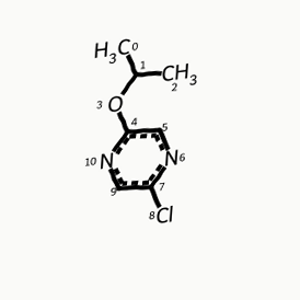 CC(C)Oc1cnc(Cl)cn1